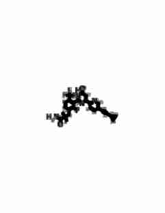 CC(C)(Cc1ccc(C(F)(F)F)c(-c2nc(-c3ccc(C#CC4CC4)cn3)cc(=O)[nH]2)c1F)C(N)=O